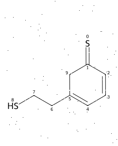 S=C1C=CC=C(CCS)C1